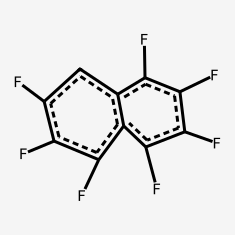 Fc1cc2c(F)c(F)c(F)c(F)c2c(F)c1F